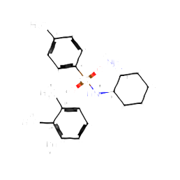 Cc1ccc(S(=O)(=O)N[C@@H]2CCCC[C@H]2N)cc1.Cc1ccccc1C.[Ru]